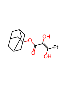 CCC(O)=C(O)C(=O)OC12CC3CC(CC(C3)C1)C2